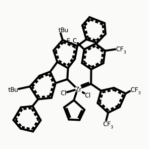 CC(C)(C)c1cc2c(cc1-c1ccccc1)[CH]([Zr]([Cl])([Cl])(=[C](c1cc(C(F)(F)F)cc(C(F)(F)F)c1)c1cc(C(F)(F)F)cc(C(F)(F)F)c1)[CH]1C=CC=C1)c1cc(-c3ccccc3)c(C(C)(C)C)cc1-2